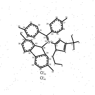 CCCC1C=C(C(C)(C)C)C=[C]1[Zr+2](=[C](c1ccc(C)cc1)c1ccc(C)cc1)[CH]1c2cc(C)ccc2-c2ccc(C)cc21.[Cl-].[Cl-]